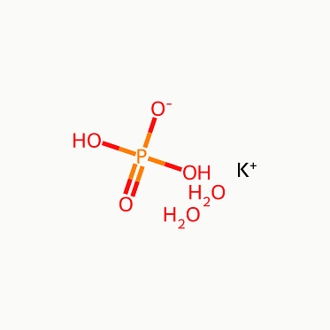 O.O.O=P([O-])(O)O.[K+]